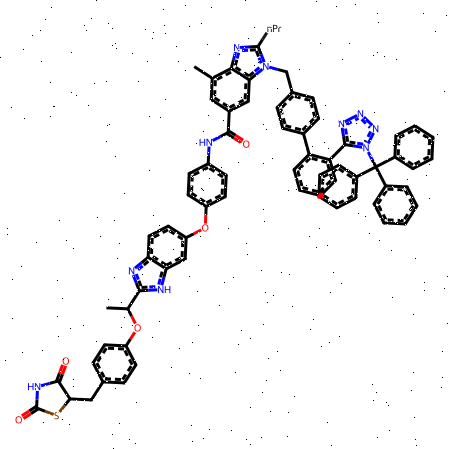 CCCc1nc2c(C)cc(C(=O)Nc3ccc(Oc4ccc5nc(C(C)Oc6ccc(CC7SC(=O)NC7=O)cc6)[nH]c5c4)cc3)cc2n1Cc1ccc(-c2ccccc2-c2nnnn2C(c2ccccc2)(c2ccccc2)c2ccccc2)cc1